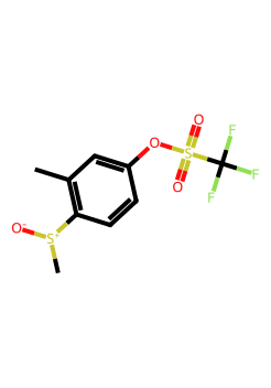 Cc1cc(OS(=O)(=O)C(F)(F)F)ccc1[S+](C)[O-]